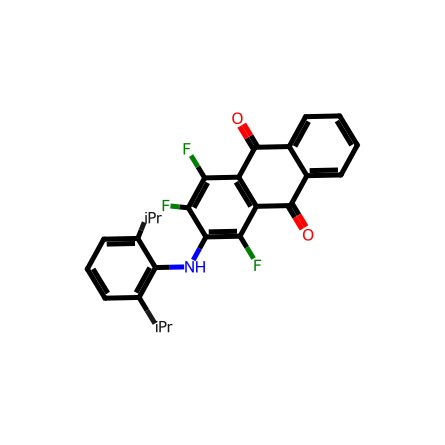 CC(C)c1cccc(C(C)C)c1Nc1c(F)c(F)c2c(c1F)C(=O)c1ccccc1C2=O